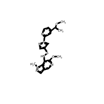 COc1ncc2cnn(C)c2c1NSc1cnn(-c2cc(C(C)OC)ccn2)c1